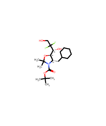 CC(C)(C)OC(=O)N1[C@@H](CC2CCCCC2)[C@H]([C@@H](O)C(F)(F)CO)OC1(C)C